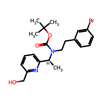 C[C@@H](c1cccc(CO)n1)N(CCc1cccc(Br)c1)C(=O)OC(C)(C)C